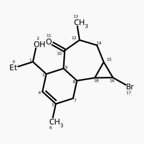 CCC(O)C1C=C(C)CC2C1C(=O)C(C)CC1C(Br)C12